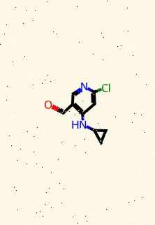 O=Cc1cnc(Cl)cc1NC1CC1